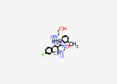 Cc1cc(F)ccc1-c1nc(NCCO)nc2c1CNC[N+]2([O-])c1c(C)cccc1C